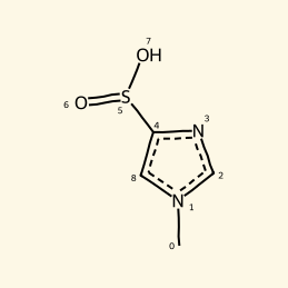 Cn1cnc(S(=O)O)c1